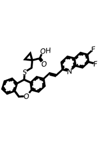 O=C(O)C1(CSC2c3ccccc3COc3ccc(C=Cc4ccc5cc(F)c(F)cc5n4)cc32)CC1